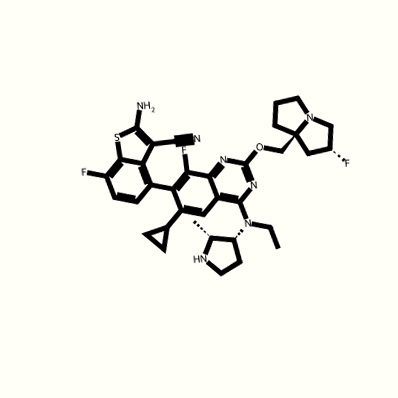 CCN(c1nc(OC[C@@]23CCCN2C[C@H](F)C3)nc2c(F)c(-c3ccc(F)c4sc(N)c(C#N)c34)c(C3CC3)cc12)[C@@H]1CCN[C@@H]1C